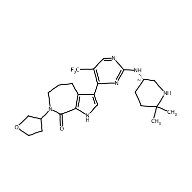 CC1(C)CC[C@H](Nc2ncc(C(F)(F)F)c(-c3c[nH]c4c3CCCN(C3CCOC3)C4=O)n2)CN1